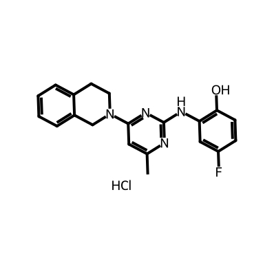 Cc1cc(N2CCc3ccccc3C2)nc(Nc2cc(F)ccc2O)n1.Cl